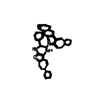 c1ccc2cc3c4c(n(C5Nc6c(oc7c6C=CC(c6ccccc6)C=C7)NC5c5ccccc5)c3cc2c#1)=CCc1ccccc1C=4